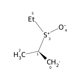 [CH2][C@@H](C)[S+]([O-])CC